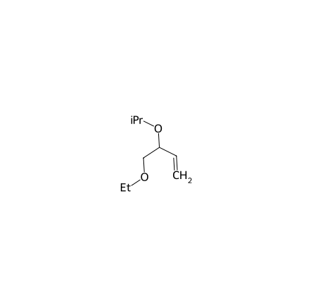 [CH2]C(C)OC(C=C)COCC